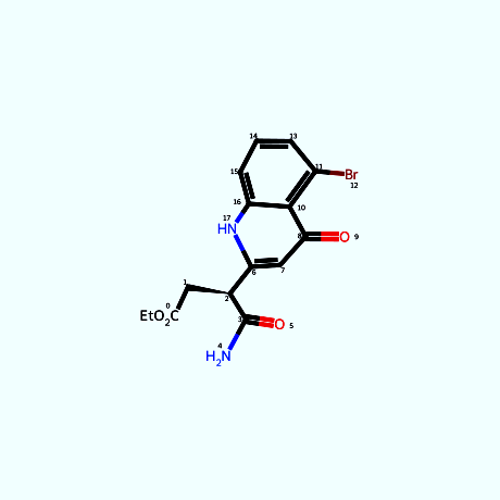 CCOC(=O)C[C@H](C(N)=O)c1cc(=O)c2c(Br)cccc2[nH]1